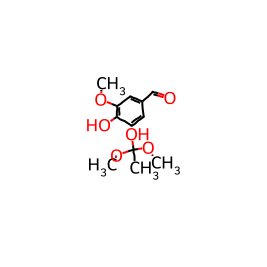 COC(C)(O)OC.COc1cc(C=O)ccc1O